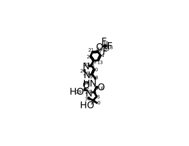 CC1(O)CC(C(=O)NCc2cc(-c3ccc(OC(F)(F)F)cc3)ncn2)N(C(=O)O)C1